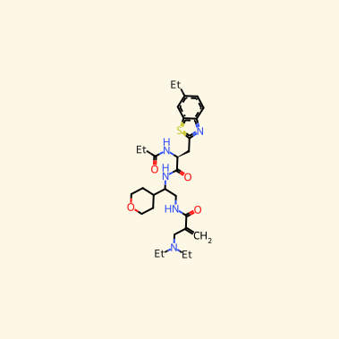 C=C(CN(CC)CC)C(=O)NCC(NC(=O)[C@H](Cc1nc2ccc(CC)cc2s1)NC(=O)CC)C1CCOCC1